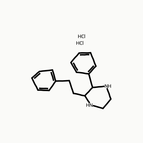 Cl.Cl.c1ccc(CCC2NCCNC2c2ccccc2)cc1